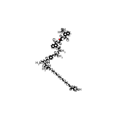 CC(C)C(NC(=O)CCOCCOCCOCCOCCOCCOCCNC(=O)c1cnc(S)nc1)C(=O)N[C@@H](CCCN)C(=O)Nc1ccc(COC(=O)N(C)CCN(C)C(=O)Oc2cc3c(c4ccccc24)[C@H](CCl)CN3C(=O)C23CC(C(=O)N4C[C@@H](CCl)c5c4cc(OP(O)O)c4ccccc54)(C2)C3)cc1